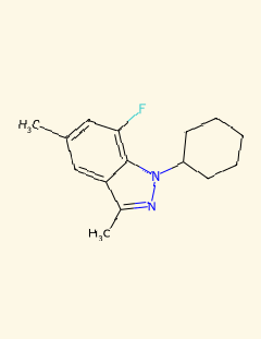 Cc1cc(F)c2c(c1)c(C)nn2C1CCCCC1